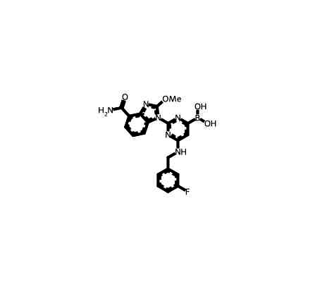 COc1nc2c(C(N)=O)cccc2n1-c1nc(NCc2cccc(F)c2)cc(B(O)O)n1